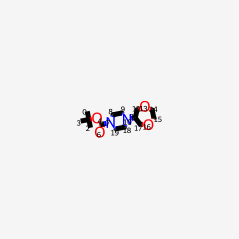 CC(C)(C)OC(=O)N1CCN(C2COCCOC2)CC1